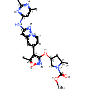 Cc1cc(Nc2cc3cc(-c4c(O[C@H]5C[C@@H](C)N(C(=O)OC(C)(C)C)C5)noc4C)ccn3n2)nc(C)n1